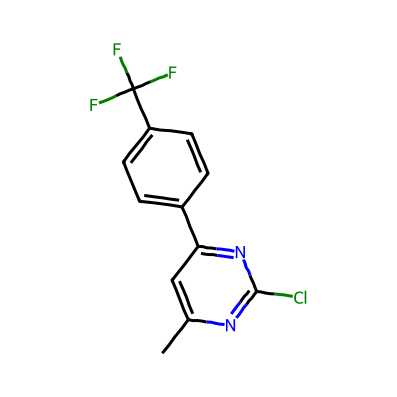 Cc1cc(-c2ccc(C(F)(F)F)cc2)nc(Cl)n1